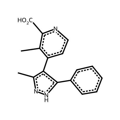 Cc1n[nH]c(-c2ccccc2)c1-c1ccnc(C(=O)O)c1C